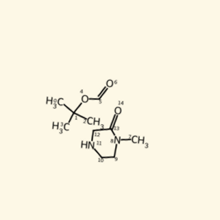 CC(C)(C)OC=O.CN1CCNCC1=O